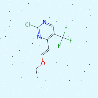 CCOC=Cc1nc(Cl)ncc1C(F)(F)F